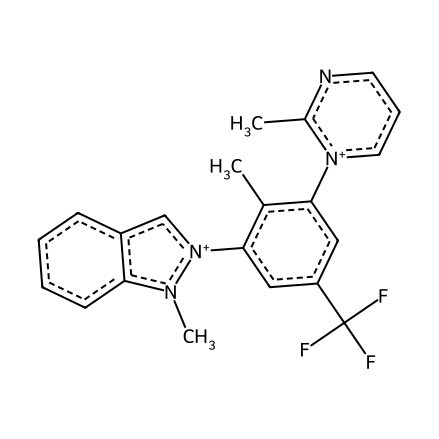 Cc1c(-[n+]2cccnc2C)cc(C(F)(F)F)cc1-[n+]1cc2ccccc2n1C